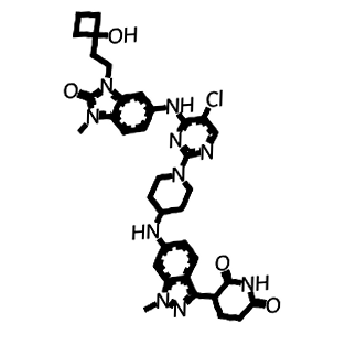 Cn1nc(C2CCC(=O)NC2=O)c2ccc(NC3CCN(c4ncc(Cl)c(Nc5ccc6c(c5)n(CCC5(O)CCC5)c(=O)n6C)n4)CC3)cc21